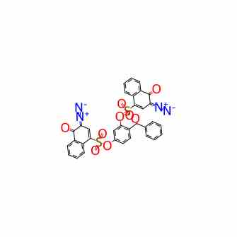 [N-]=[N+]=C1C=C(S(=O)(=O)Oc2ccc(C(=O)c3ccccc3)c(OS(=O)(=O)C3=CC(=[N+]=[N-])C(=O)c4ccccc43)c2)c2ccccc2C1=O